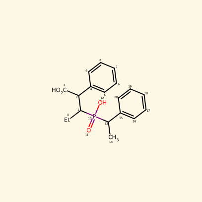 CCC(C(C(=O)O)c1ccccc1)P(=O)(O)C(C)c1ccccc1